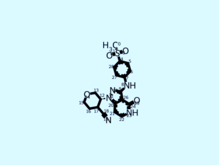 CS(=O)(=O)c1ccc(Nc2nn([C@H]3COCCC3C#N)c3cc[nH]c(=O)c23)cc1